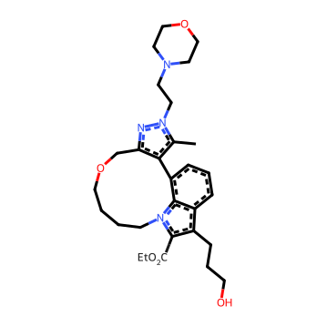 CCOC(=O)c1c(CCCO)c2cccc3c2n1CCCCOCc1nn(CCN2CCOCC2)c(C)c1-3